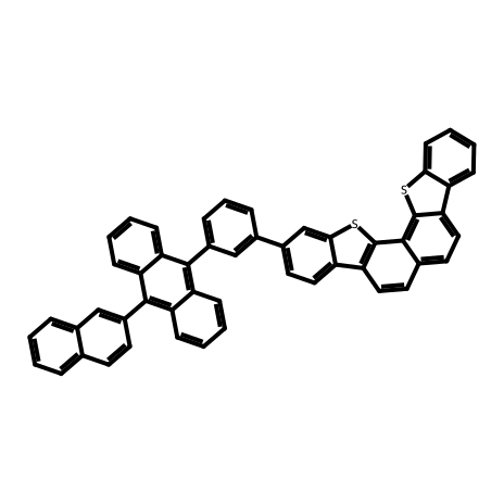 c1cc(-c2ccc3c(c2)sc2c3ccc3ccc4c5ccccc5sc4c32)cc(-c2c3ccccc3c(-c3ccc4ccccc4c3)c3ccccc23)c1